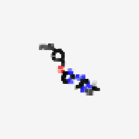 CNC1CCC(COc2ccnc(Nc3cn(C(C)(C)C#N)nc3C)n2)CC1